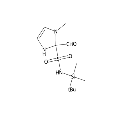 CN1C=CNC1(C=O)S(=O)(=O)N[Si](C)(C)C(C)(C)C